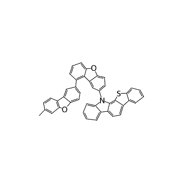 Cc1ccc2c(c1)oc1ccc(-c3cccc4oc5ccc(-n6c7ccccc7c7ccc8c9ccccc9sc8c76)cc5c34)cc12